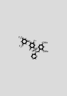 COc1ccc(CN(c2ccncn2)S(=O)(=O)c2cc(F)c(Oc3cc(C(F)(F)F)cc(C(F)(F)F)c3)cc2F)c(OC)c1